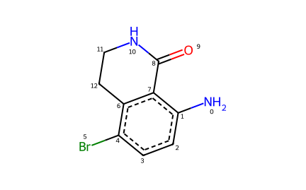 Nc1ccc(Br)c2c1C(=O)NCC2